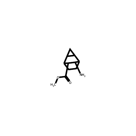 COC(=O)C1C(N)C2CCC1C1CC21